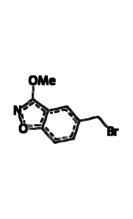 COc1noc2ccc(CBr)cc12